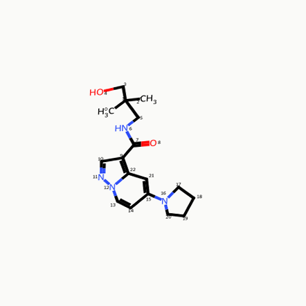 CC(C)(CO)CNC(=O)c1cnn2ccc(N3CCCC3)cc12